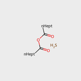 CCCCCCCC(=O)OC(=O)CCCCCCC.S